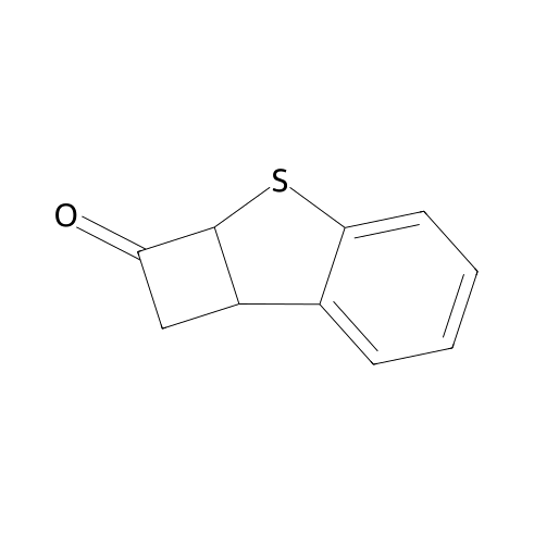 O=C1CC2c3ccccc3SC12